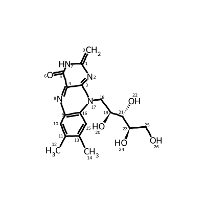 C=c1nc2c(c(=O)[nH]1)=Nc1cc(C)c(C)cc1N2C[C@H](O)[C@H](O)[C@H](O)CO